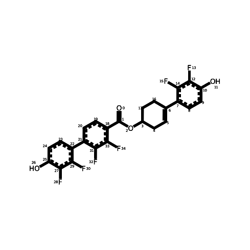 O=C(OC1CC=C(c2ccc(O)c(F)c2F)CC1)c1ccc(-c2ccc(O)c(F)c2F)c(F)c1F